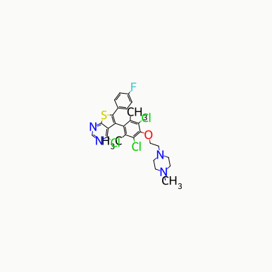 Cc1c(Cl)c(OCCN2CCN(C)CC2)c(Cl)c(C)c1-c1c(-c2ccc(F)cc2)sc2ncnc(Cl)c12